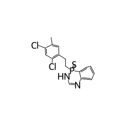 Cc1cc(CCP2(=S)NC=Nc3ccccc32)c(Cl)cc1Cl